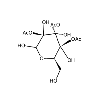 CC(=O)O[C@]1(O)[C@@](O)(OC(C)=O)[C@@H](CO)OC(O)[C@@]1(O)OC(C)=O